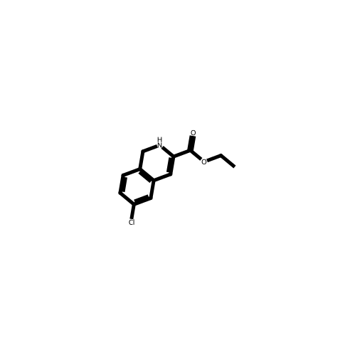 CCOC(=O)C1=Cc2cc(Cl)ccc2CN1